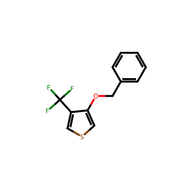 FC(F)(F)c1[c]scc1OCc1ccccc1